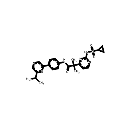 CC(C)c1cncc(-c2ccc(NC(=O)C(C)(C)c3ccnc(NS(=O)(=O)C4CC4)n3)cc2)n1